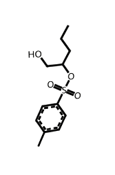 CCCC(CO)OS(=O)(=O)c1ccc(C)cc1